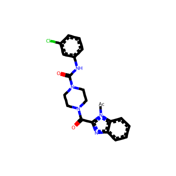 CC(=O)n1c(C(=O)N2CCN(C(=O)Nc3cccc(Cl)c3)CC2)nc2ccccc21